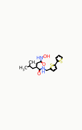 CC(C)CC(CC(=O)NO)C(=O)NCc1ccc(-c2cccs2)s1